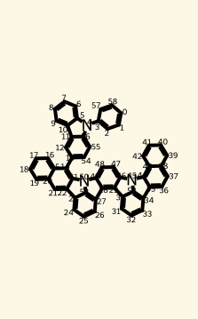 c1ccc(-n2c3ccccc3c3cc(-c4c5ccccc5cc5c6cccc7c8c9c%10cccc%11c%12ccc%13ccccc%13c%12n(c9ccc8n(c45)c67)c%11%10)ccc32)cc1